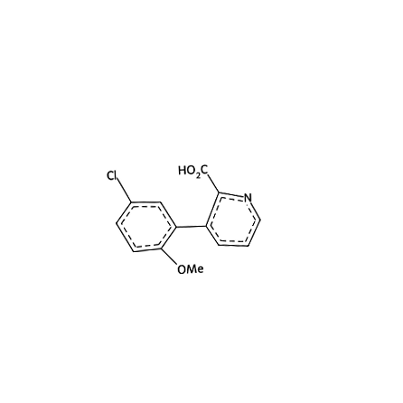 COc1ccc(Cl)cc1-c1cccnc1C(=O)O